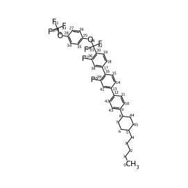 CCCCCC1CCC(c2ccc(-c3ccc(-c4ccc(C(F)(F)Oc5ccc(OC(F)(F)F)cc5)c(F)c4)c(F)c3)cc2)CC1